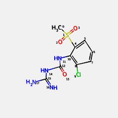 CS(=O)(=O)c1cccc(Cl)c1NC(=O)NC(=N)N